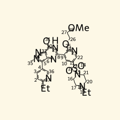 CCc1ccc(-c2c3nc(-c4cc(S(=O)(=O)N5CCN(CC)CC5)cnc4OCCOC)[nH]c(=O)c3nn2C)cn1